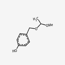 COC(C)OCc1ccc(O)cc1